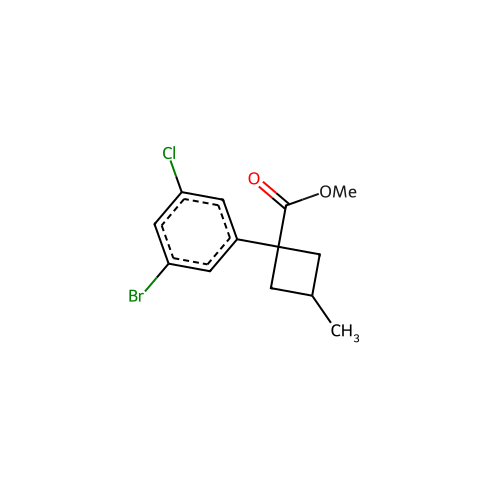 COC(=O)C1(c2cc(Cl)cc(Br)c2)CC(C)C1